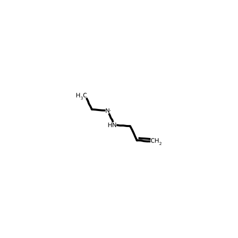 C=CCN[N]CC